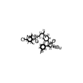 Cc1cc(Cl)nc(C)c1C(=O)NCCC(C)N1CCC(N2C(=O)N(C(C)(C)C)C[C@H]2c2cccc(F)c2)CC1